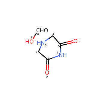 O=C1CNCC(=O)N1.O=CO